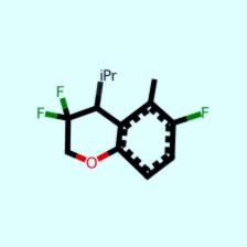 Cc1c(F)ccc2c1C(C(C)C)C(F)(F)CO2